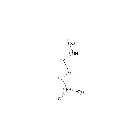 O=C(O)NCCO[PH](=O)O